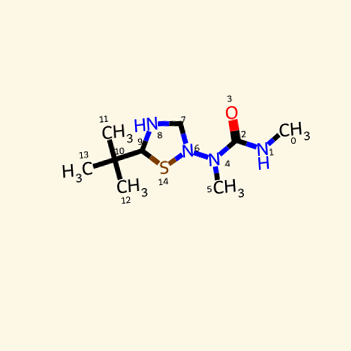 CNC(=O)N(C)N1CNC(C(C)(C)C)S1